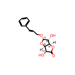 O=C1O[C@@H]2[C@@H](O)[C@@H](OCC=Cc3ccccc3)O[C@@H]2[C@@H]1O